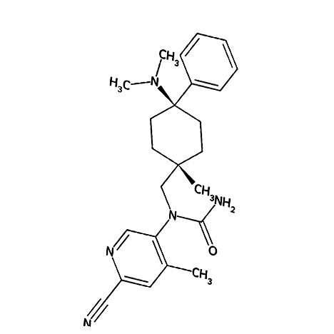 Cc1cc(C#N)ncc1N(C[C@]1(C)CC[C@@](c2ccccc2)(N(C)C)CC1)C(N)=O